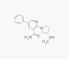 CN[C@H]1CCN(c2ncc(-c3ccccc3)cc2C(N)=O)C1